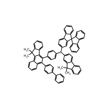 CC1(C)c2ccccc2-c2ccc(N(c3ccc(-c4c5c(c6ccccc6c4-c4ccc(-c6ccccc6)cc4)C(C)(C)c4ccccc4-5)cc3)c3ccc4c(c3)C3(c5ccccc5-c5ccccc53)c3ccccc3-4)cc21